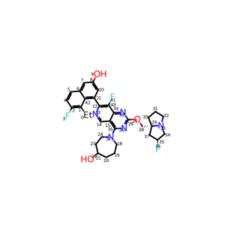 CCc1c(F)ccc2cc(O)cc(-c3ncc4c(N5CCCC(O)CC5)nc(OC[C@]56CCCN5C[C@@H](F)C6)nc4c3F)c12